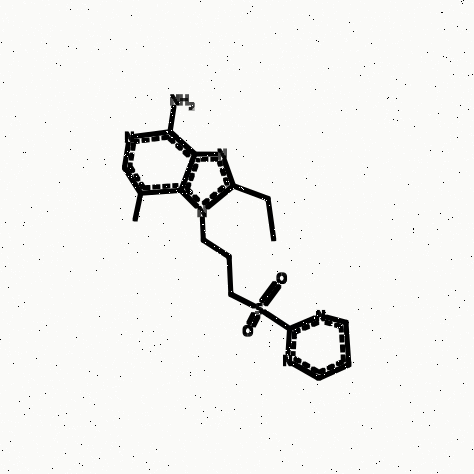 CCc1nc2c(N)ncc(C)c2n1CCCS(=O)(=O)c1ncccn1